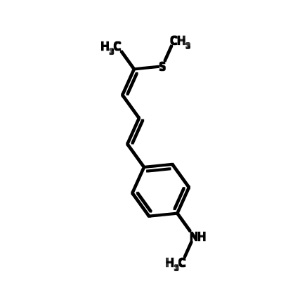 CNc1ccc(/C=C/C=C(/C)SC)cc1